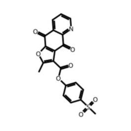 Cc1oc2c(c1C(=O)Oc1ccc(S(C)(=O)=O)cc1)C(=O)c1ncccc1C2=O